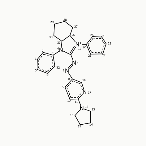 c1ccc(N2C(/N=N/c3ccc(N4CCCC4)nc3)=[N+](c3ccccc3)C3CCCCC32)cc1